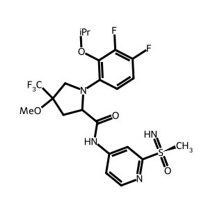 COC1(C(F)(F)F)CC(C(=O)Nc2ccnc([S@](C)(=N)=O)c2)N(c2ccc(F)c(F)c2OC(C)C)C1